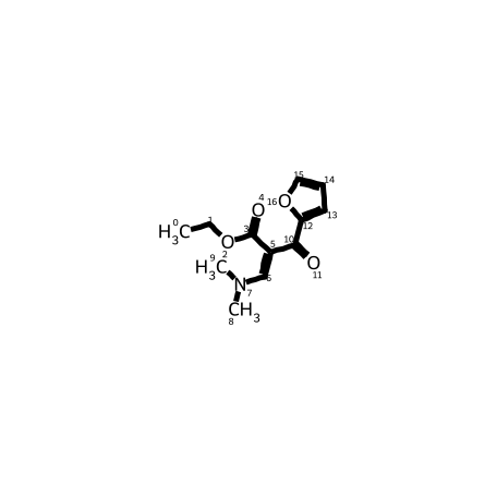 CCOC(=O)C(=CN(C)C)C(=O)c1ccco1